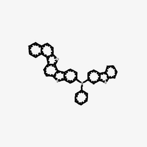 c1ccc(N(c2ccc3c(c2)oc2ccccc23)c2ccc3c(c2)sc2ccc4c(oc5ccc6ccccc6c54)c23)cc1